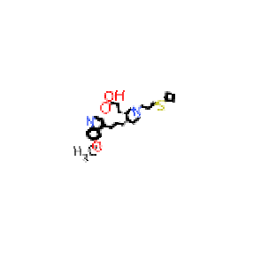 COc1ccc2nccc(CCC[C@@H]3CCN(CCCSC4CCC4)C[C@@H]3CCC(=O)O)c2c1